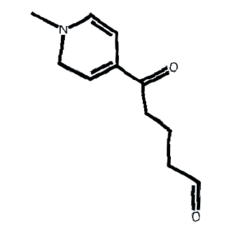 CN1C=CC(C(=O)CCCC=O)=CC1